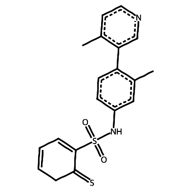 Cc1cc(NS(=O)(=O)C2=CC=CCC2=S)ccc1-c1cnccc1C